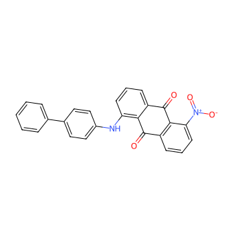 O=C1c2cccc([N+](=O)[O-])c2C(=O)c2cccc(Nc3ccc(-c4ccccc4)cc3)c21